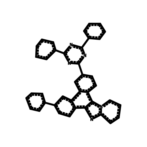 c1ccc(-c2ccc3c(c2)c2cc(-c4nc(-c5ccccc5)nc(-c5ccccc5)n4)ccc2c2c3nc3ccccn32)cc1